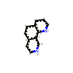 c1cnc2c(c1)ccc1ccncc12